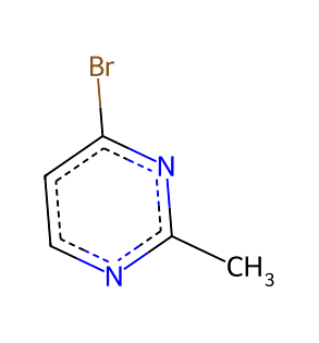 Cc1nccc(Br)n1